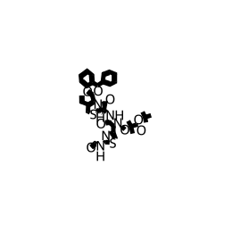 C=CC1=C(C(=O)OC(c2ccccc2)c2ccccc2)N2C(=O)C(NC(=O)C(=NOC(C)(C)C(=O)OC(C)(C)C)c3csc(NC=O)n3)[C@@H]2SC1